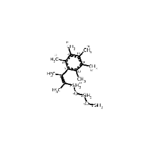 CC([SiH2]O[SiH2]O[SiH3])=C(C)c1c(C)c(C)c(C)c(C)c1C